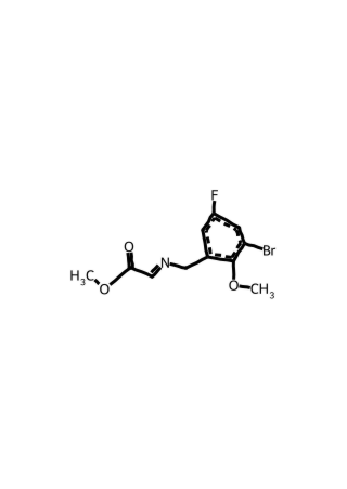 COC(=O)/C=N/Cc1cc(F)cc(Br)c1OC